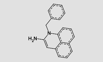 NC1=Cc2cccc3cccc(c23)N1Cc1ccccc1